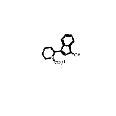 O=C(O)N1CCCCC1C1=CC(O)c2ccccc21